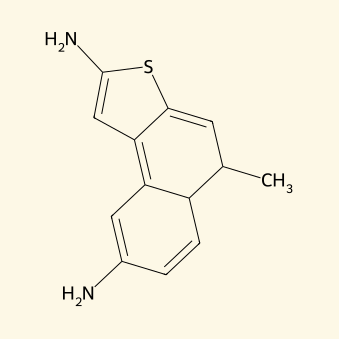 CC1C=c2sc(N)cc2=C2C=C(N)C=CC21